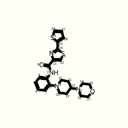 O=C(Nc1ccccc1N1CCC(N2CCOCC2)CC1)c1csc(-c2cccs2)n1